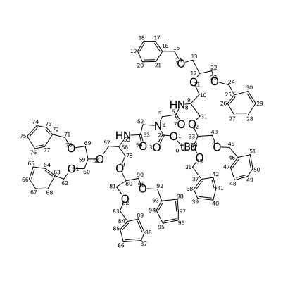 CC(C)(C)OC(=O)N(CC(=O)NC(COC(COCc1ccccc1)COCc1ccccc1)COC(COCc1ccccc1)COCc1ccccc1)CC(=O)NC(COC(COCc1ccccc1)COCc1ccccc1)COC(COCc1ccccc1)COCc1ccccc1